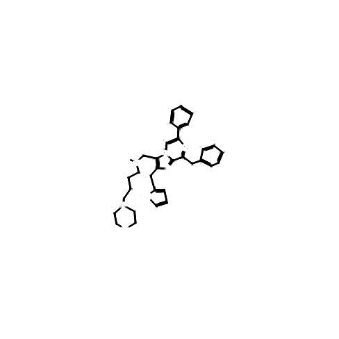 O=C(O)N(CCCCN1CCOCC1)Cc1c(Cc2ccco2)nc2c(Cc3ccccc3)nc(-c3ccccc3)cn12